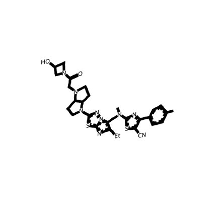 CCc1nc2sc(N3CCC4C3CCN4CC(=O)N3CC(O)C3)nn2c1N(C)c1nc(-c2ccc(C)cc2)c(C#N)s1